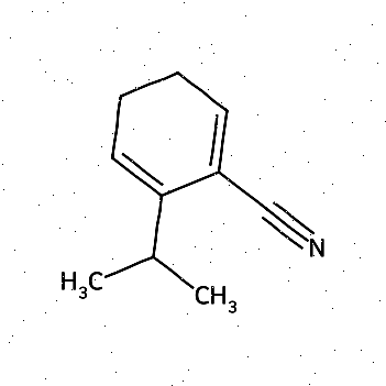 CC(C)C1=CCCC=C1C#N